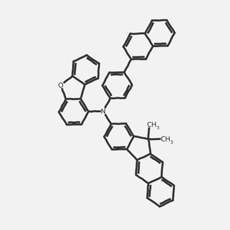 CC1(C)c2cc(N(c3ccc(-c4ccc5ccccc5c4)cc3)c3cccc4oc5ccccc5c34)ccc2-c2cc3ccccc3cc21